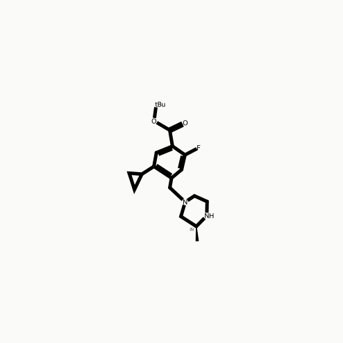 C[C@H]1CN(Cc2cc(F)c(C(=O)OC(C)(C)C)cc2C2CC2)CCN1